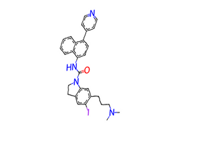 CN(C)CCCc1cc2c(cc1I)CCN2C(=O)Nc1ccc(-c2ccncc2)c2ccccc12